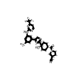 Cc1cc(Nc2nccc(C(F)(F)F)n2)cc(-c2cnc([C@]3(O)CC[C@H](C(=O)N4CCC(C#N)C4)CC3)s2)c1